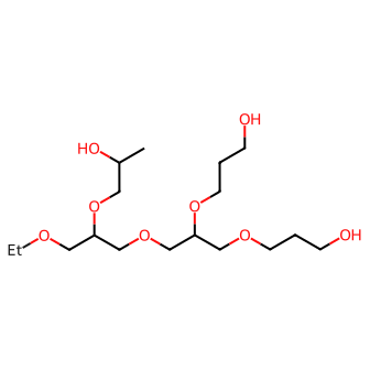 CCOCC(COCC(COCCCO)OCCCO)OCC(C)O